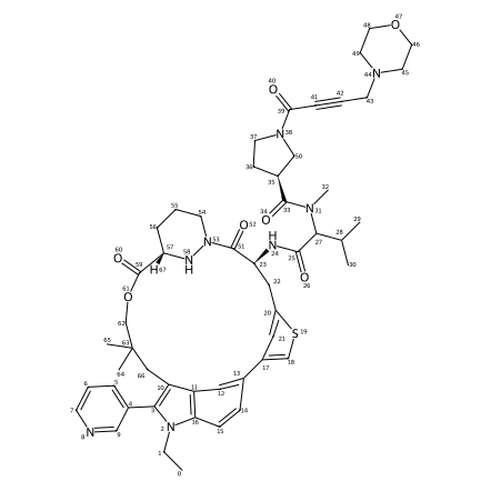 CCn1c(-c2cccnc2)c2c3cc(ccc31)-c1csc(c1)C[C@H](NC(=O)C(C(C)C)N(C)C(=O)[C@H]1CCN(C(=O)C#CCN3CCOCC3)C1)C(=O)N1CCC[C@H](N1)C(=O)OCC(C)(C)C2